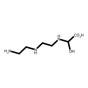 NCCNCCNC(O)C(=O)O